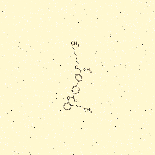 CCCCCCCOC(C)c1ccc(-c2ccc(C(=O)Oc3ccccc3CCCC)cc2)cc1